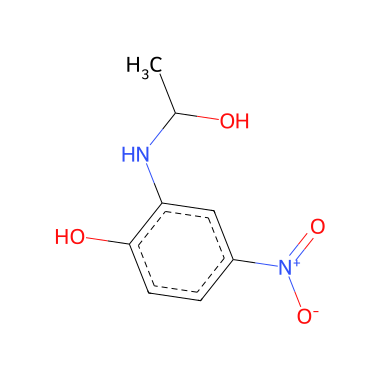 CC(O)Nc1cc([N+](=O)[O-])ccc1O